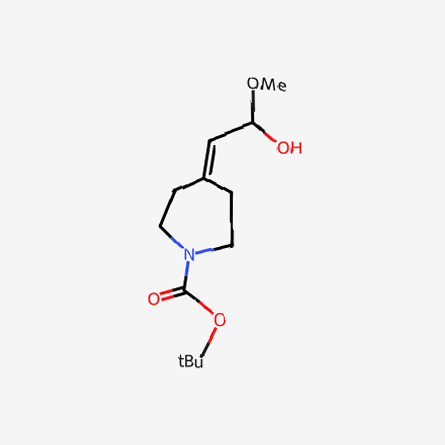 COC(O)C=C1CCN(C(=O)OC(C)(C)C)CC1